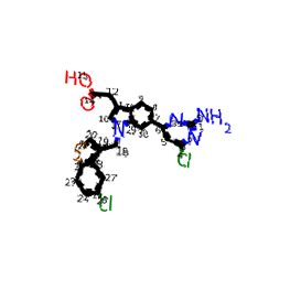 Nc1nc(Cl)cc(-c2ccc3c(CC(=O)O)cn(Cc4csc5ccc(Cl)cc45)c3c2)n1